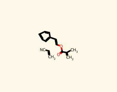 C=C(C)C(=O)OC=Cc1ccccc1.C=CC#N